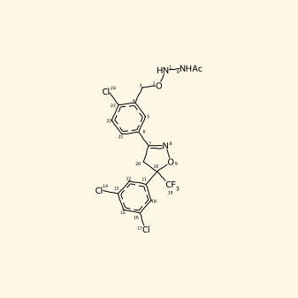 CC(=O)NNOCc1cc(C2=NOC(c3cc(Cl)cc(Cl)c3)(C(F)(F)F)C2)ccc1Cl